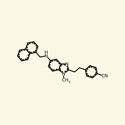 Cn1c(CCc2ccc(C#N)cc2)nc2cc(NCc3cccc4ccccc34)ccc21